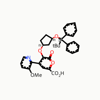 COc1cccnc1-c1cc(C(=O)O)oc(=O)c1O[C@H]1CC[C@@H](O[Si](c2ccccc2)(c2ccccc2)C(C)(C)C)C1